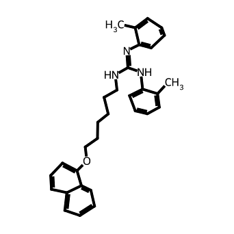 Cc1ccccc1/N=C(/NCCCCCCOc1cccc2ccccc12)Nc1ccccc1C